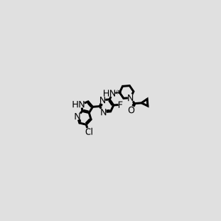 O=C(C1CC1)N1CCC[C@H](Nc2nc(-c3c[nH]c4ncc(Cl)cc34)ncc2F)C1